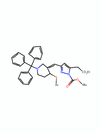 CCOC(=O)Cc1cc(C=C2CN(C(c3ccccc3)(c3ccccc3)c3ccccc3)CCC2SC(C)=O)nn1C(=O)OC(C)(C)C